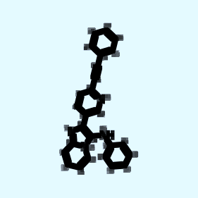 C(#Cc1ccc(-c2nc3ccccn3c2Nc2ccccc2)cn1)c1ccccc1